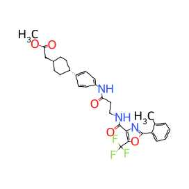 COC(=O)C[C@H]1CC[C@H](c2ccc(NC(=O)CCNC(=O)c3nc(-c4ccccc4C)oc3C(F)(F)F)cc2)CC1